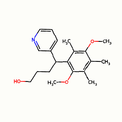 COc1c(C)c(C)c(OC)c(C(CCCO)c2cccnc2)c1C